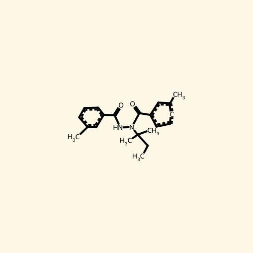 CCC(C)(C)N(NC(=O)c1cccc(C)c1)C(=O)c1cccc(C)c1